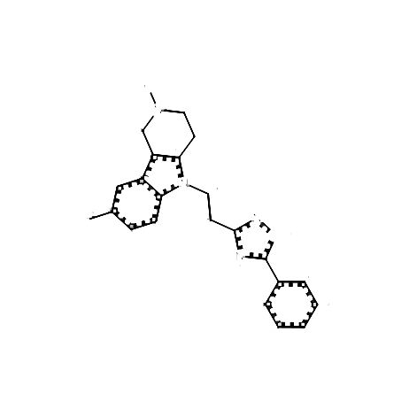 CN1CCc2c(c3cc(Cl)ccc3n2CCc2noc(-c3ccccc3)n2)C1